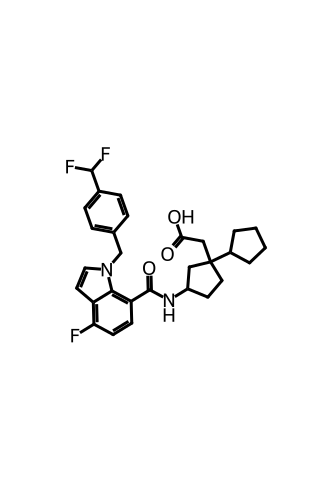 O=C(O)CC1(C2CCCC2)CCC(NC(=O)c2ccc(F)c3ccn(Cc4ccc(C(F)F)cc4)c23)C1